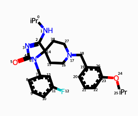 CC(C)NC1=NC(=O)N(c2cccc(F)c2)C12CCN(Cc1cccc(OC(C)C)c1)CC2